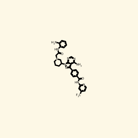 Nc1ccccc1NC(=O)CN1CCCC(n2nc(-c3ccc(C(=O)Nc4cc(C(F)(F)F)ccn4)cc3)c3c(N)ncnc32)C1